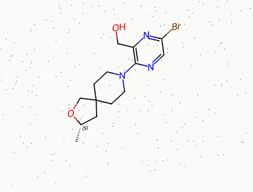 C[C@H]1CC2(CCN(c3ncc(Br)nc3CO)CC2)CO1